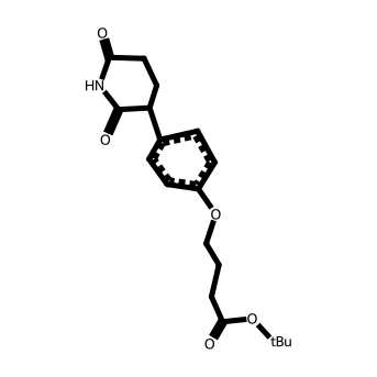 CC(C)(C)OC(=O)CCCOc1ccc(C2CCC(=O)NC2=O)cc1